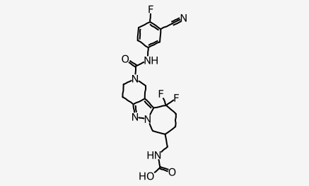 N#Cc1cc(NC(=O)N2CCc3nn4c(c3C2)C(F)(F)CCC(CNC(=O)O)C4)ccc1F